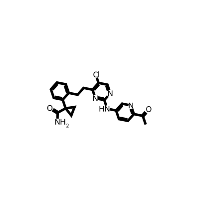 CC(=O)c1ccc(Nc2ncc(Cl)c(CCc3ccccc3C3(C(N)=O)CC3)n2)cn1